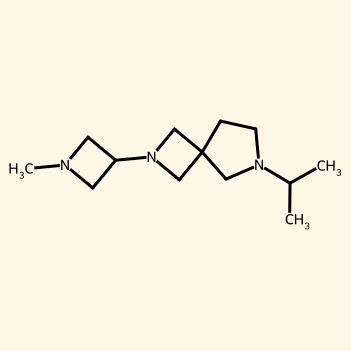 CC(C)N1CCC2(C1)CN(C1CN(C)C1)C2